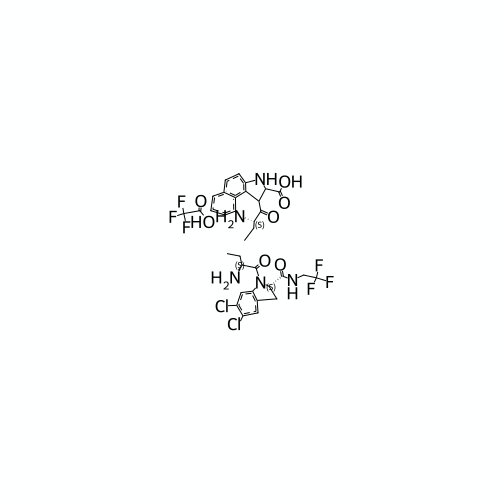 CC[C@H](N)C(=O)C1c2c(ccc3ccccc23)NC1C(=O)O.CC[C@H](N)C(=O)N1c2cc(Cl)c(Cl)cc2C[C@H]1C(=O)NCC(F)(F)F.O=C(O)C(F)(F)F